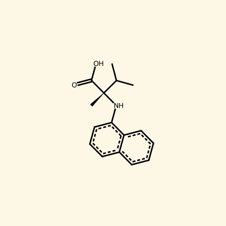 CC(C)[C@](C)(Nc1cccc2ccccc12)C(=O)O